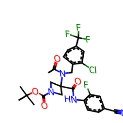 CC(=O)N(Cc1ccc(C(F)(F)F)cc1Cl)C1(C(=O)Nc2ccc(C#N)cc2F)CN(C(=O)OC(C)(C)C)C1